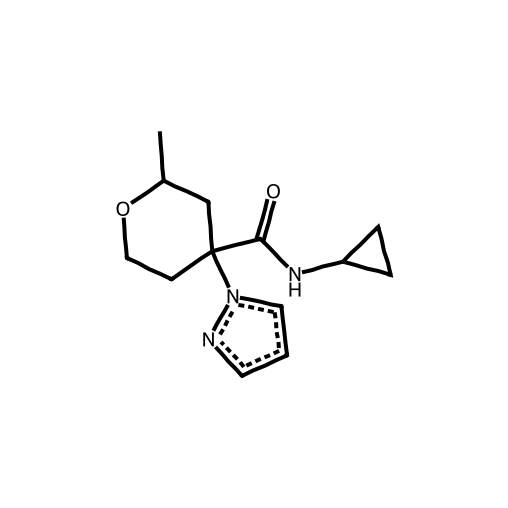 CC1CC(C(=O)NC2CC2)(n2cccn2)CCO1